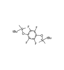 CC(C)(C)[Si](C)(C)Oc1c(F)c(F)c(O[Si](C)(C)C(C)(C)C)c(F)c1F